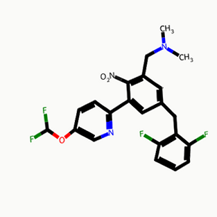 CN(C)Cc1[c]c(Cc2c(F)cccc2F)cc(-c2ccc(OC(F)F)cn2)c1[N+](=O)[O-]